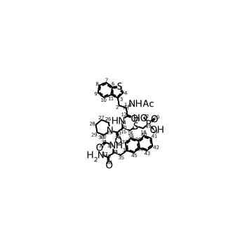 CC(=O)N[C@@H](Cc1csc2ccccc12)C(=O)N[C@@H](CSCP(=O)(O)O)C(=O)N1CCCC[C@H]1C(=O)N[C@@H](Cc1ccc2ccccc2c1)C(N)=O